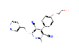 N#Cc1c(N)nc(SCc2ccncc2)c(C#N)c1-c1ccc(OCCO)cc1